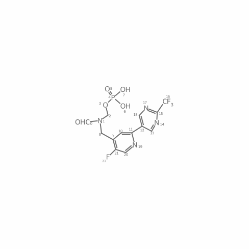 O=CN(COP(=O)(O)O)Cc1cc(-c2cnc(C(F)(F)F)nc2)ncc1F